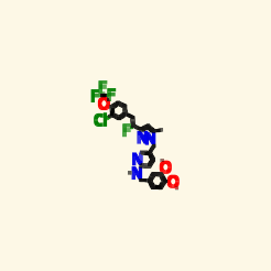 COc1ccc(CN(C)c2ccc(Cn3nc(/C(F)=C/c4ccc(OC(F)(F)F)c(Cl)c4)cc3C)cn2)cc1OC